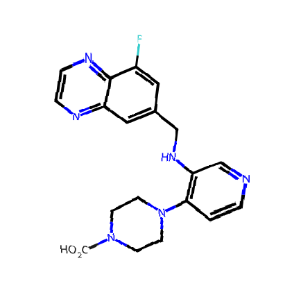 O=C(O)N1CCN(c2ccncc2NCc2cc(F)c3nccnc3c2)CC1